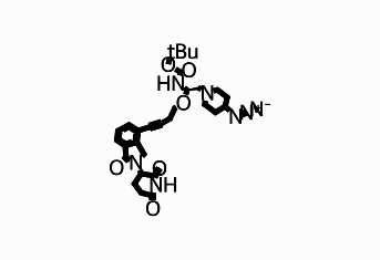 CC(C)(C)OC(=O)N[C@@H](CN1CCC(N=[N+]=[N-])CC1)OCCC#Cc1cccc2c1CN(C1CCC(=O)NC1=O)C2=O